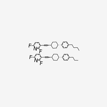 CCCCc1ccc([C@H]2CC[C@H](C#Cc3ccc(F)nc3F)CC2)cc1.CCCc1ccc([C@H]2CC[C@H](C#Cc3ccc(F)nc3F)CC2)cc1